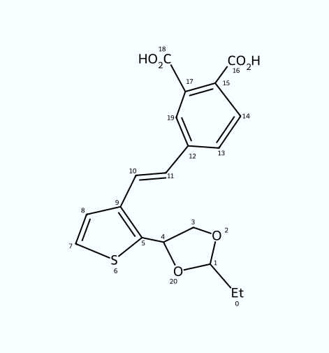 CCC1OCC(c2sccc2C=Cc2ccc(C(=O)O)c(C(=O)O)c2)O1